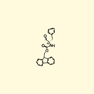 O=[C][C@H](Cc1ccccc1)NC(=O)OCC1c2ccccc2-c2ccccc21